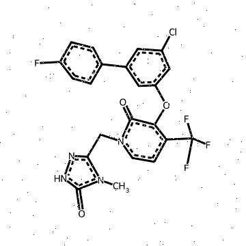 Cn1c(Cn2ccc(C(F)(F)F)c(Oc3cc(Cl)cc(-c4ccc(F)cc4)c3)c2=O)n[nH]c1=O